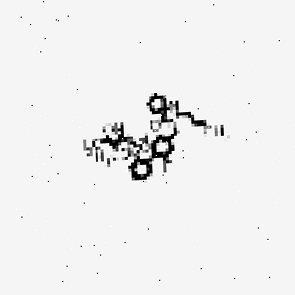 CCCCC1=NC2(CCCC2)C(=O)N1Cc1ccc(-c2ccccc2S(=O)(=O)Nc2noc(C)c2C)c(F)c1